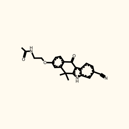 CC(=O)NCCOc1ccc2c(c1)C(C)(C)c1[nH]c3cc(C#N)ccc3c1C2=O